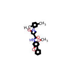 COc1cc2c(cc1NC(=O)C1CC(=O)N(c3cc(C)ccc3C)C1)oc1ccccc12